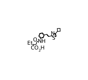 CCC(CC(=O)Nc1cccc(/C=C/c2nc(C3CCC3)cs2)c1)C(=O)O